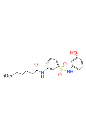 CCCCCCCCCCCCCCC(=O)Nc1cccc(S(=O)(=O)Nc2cccc(O)c2)c1